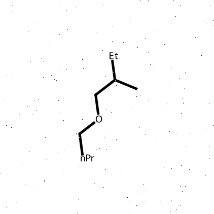 CCC[CH]OCC(C)CC